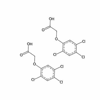 O=C(O)COc1cc(Cl)c(Cl)cc1Cl.O=C(O)COc1cc(Cl)c(Cl)cc1Cl